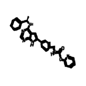 C[C@@H](Nc1ncnc2[nH]c(-c3ccc(CNC(=O)Oc4ccccn4)cc3)cc12)c1ccccc1